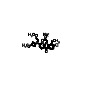 COCCN(c1ccc2c(=O)c3ccc(Cl)c(SC)c3n(CC(=O)[O-])c2n1)C1CC(OC)C1.[Na+]